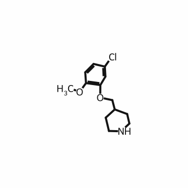 COc1ccc(Cl)cc1OCC1CCNCC1